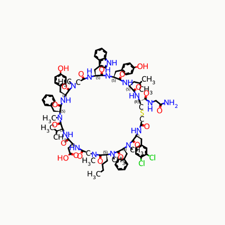 CCCC[C@H]1C(=O)N(C)CC(=O)N[C@@H](CC(=O)O)C(=O)N[C@@H](C(C)C)C(=O)N(C)[C@@H](Cc2ccccc2)C(=O)N[C@@H](Cc2ccc(O)cc2)C(=O)N(C)CC(=O)N[C@@H](Cc2c[nH]c3ccccc23)C(=O)N[C@@H](Cc2ccc(O)cc2)C(=O)N[C@@H](CC(C)C)C(=O)N[C@H](C(=O)NCC(N)=O)CSCC(=O)N[C@@H](Cc2ccc(Cl)c(Cl)c2)C(=O)N(C)[C@@H](Cc2ccccc2)C(=O)N1C